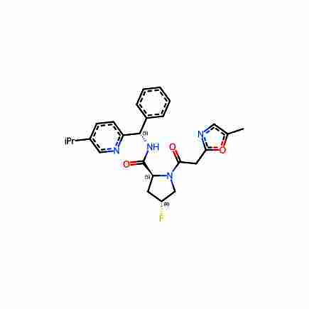 Cc1cnc(CC(=O)N2C[C@H](F)C[C@H]2C(=O)N[C@@H](c2ccccc2)c2ccc(C(C)C)cn2)o1